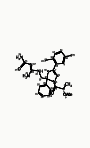 CO[C@@H](C)C(=O)N1N=C(c2cc(F)ccc2F)SC1(CN/C(N)=N/C(N)=O)c1ccccc1